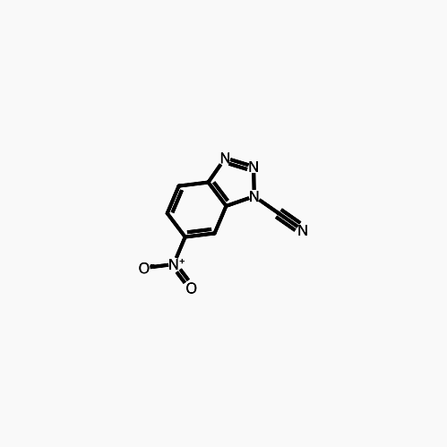 N#Cn1nnc2ccc([N+](=O)[O-])cc21